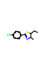 CCC1SC(c2ccc(Cl)cc2)=NC1C